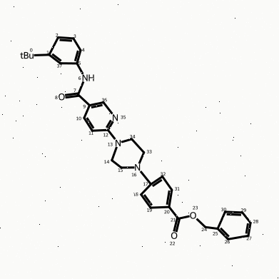 CC(C)(C)c1cccc(NC(=O)c2ccc(N3CCN(c4ccc(C(=O)OCc5ccccc5)cc4)CC3)nc2)c1